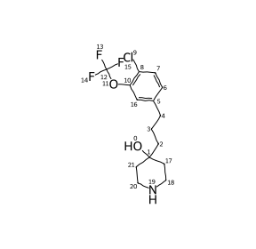 OC1(CCCc2ccc(Cl)c(OC(F)(F)F)c2)CCNCC1